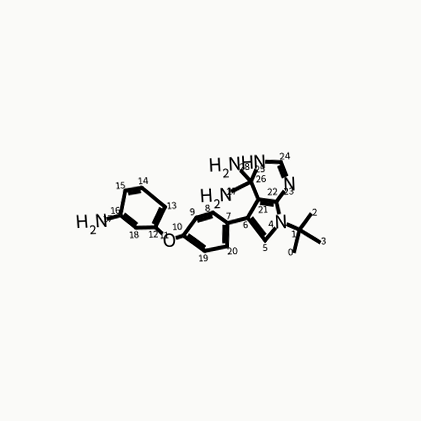 CC(C)(C)n1cc(-c2ccc(Oc3cccc(N)c3)cc2)c2c1N=CNC2(N)N